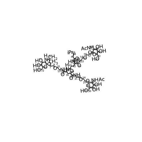 C=C(C)NC1C(OCCOCCNC(=O)C(CCC(=O)NCCOCCOC2OC(CO)C(O)C(O)C2NC(C)=O)NC(=O)CCC(NC(=O)CCC(C)C)C(=O)NCCOCCOC2OC(CO)C(O)C(O)C2NC(C)=O)OC(CO)C(O)C1O